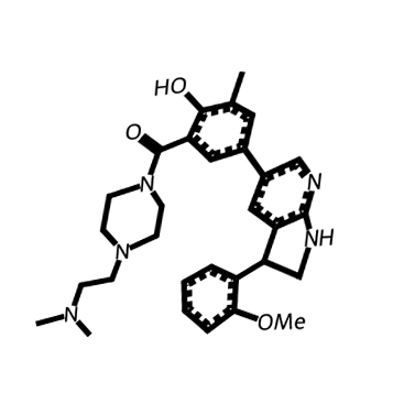 COc1ccccc1C1CNc2ncc(-c3cc(C)c(O)c(C(=O)N4CCN(CCN(C)C)CC4)c3)cc21